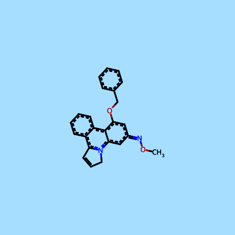 CON=c1cc(OCc2ccccc2)c2c3ccccc3c3n(c-2c1)CC=C3